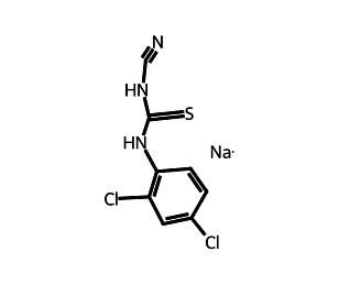 N#CNC(=S)Nc1ccc(Cl)cc1Cl.[Na]